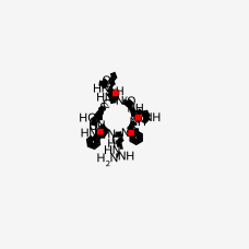 CCCC[C@H](NC(C)=O)C(=O)N[C@H]1CSSC(C)(C)[C@@H](C(=O)O)NC(=O)[C@H](Cc2c[nH]c3ccccc23)NC(=O)[C@H](CCCNC(=N)N)NC(=O)[C@@H](Cc2ccccc2)NC(=O)[C@H](Cc2c[nH]cn2)NC(=O)[C@@H](C)NC1=O